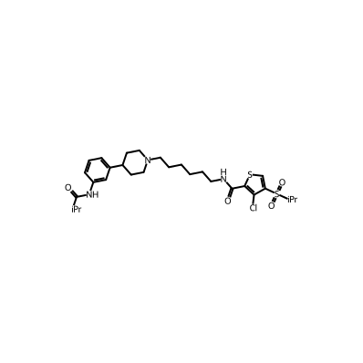 CC(C)C(=O)Nc1cccc(C2CCN(CCCCCCNC(=O)c3scc(S(=O)(=O)C(C)C)c3Cl)CC2)c1